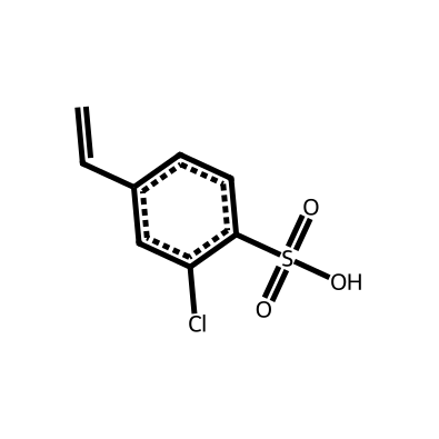 C=Cc1ccc(S(=O)(=O)O)c(Cl)c1